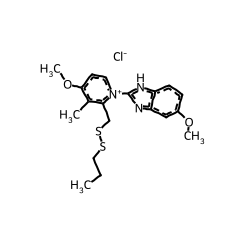 CCCSSCc1c(C)c(OC)cc[n+]1-c1nc2cc(OC)ccc2[nH]1.[Cl-]